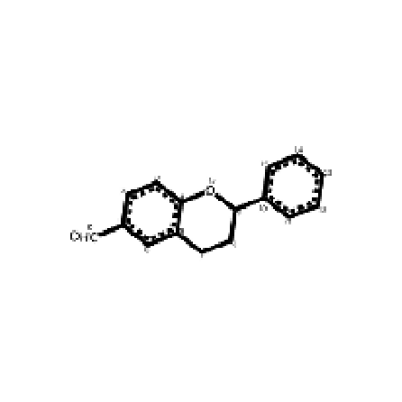 O=Cc1ccc2c(c1)CCC(c1ccccc1)O2